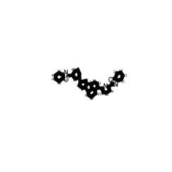 c1cc(-c2ccc3c(c2)-c2ccc(-c4cccc(-c5nc6ccccc6o5)n4)c4cccc-3c24)cc(-c2nc3ccccc3o2)c1